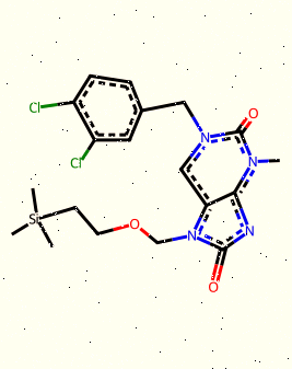 Cn1c2nc(=O)n(COCC[Si](C)(C)C)c-2cn(Cc2ccc(Cl)c(Cl)c2)c1=O